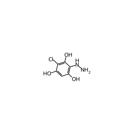 NNc1c(O)cc(O)c(Cl)c1O